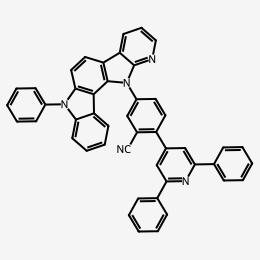 N#Cc1cc(-n2c3ncccc3c3ccc4c(c5ccccc5n4-c4ccccc4)c32)ccc1-c1cc(-c2ccccc2)nc(-c2ccccc2)c1